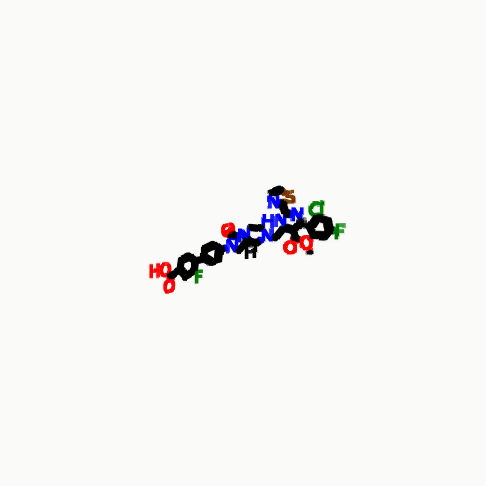 COC(=O)C1=C(CN2CCN3C(=O)N(c4ccc(-c5ccc(C(=O)O)cc5F)cc4)C[C@@H]3C2)NC(c2nccs2)=N[C@H]1c1ccc(F)cc1Cl